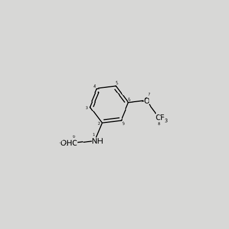 O=[C]Nc1cccc(OC(F)(F)F)c1